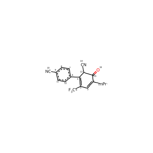 CC[CH]C1=CC(C(F)(F)F)=C(c2ccc(C#N)cc2)C(C#N)C1=O